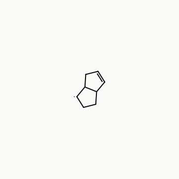 [CH]1CCC2C=CCC12